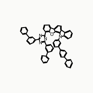 c1ccc(-c2ccc(-c3cccc(-n4c5ccccc5c5ccc6c7cccc(-c8nc(-c9cccc(-c%10ccccc%10)c9)nc(-c9cccc(-c%10ccccc%10)c9)n8)c7oc6c54)c3)cc2)cc1